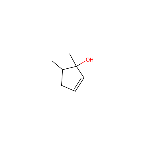 CC1CC=CC1(C)O